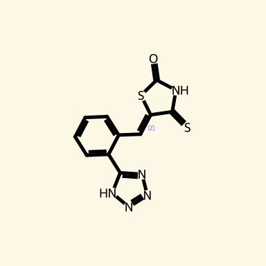 O=C1NC(=S)/C(=C/c2ccccc2-c2nnn[nH]2)S1